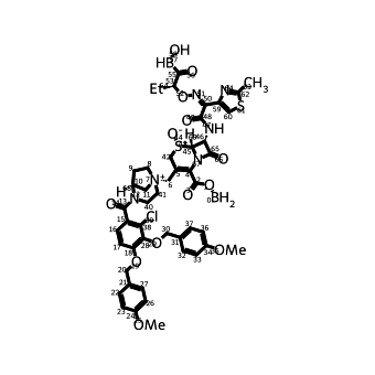 BOC(=O)C1=C(C[N@@+]23CC[C@@H](C2)N(C(=O)c2ccc(OCc4ccc(OC)cc4)c(OCc4ccc(OC)cc4)c2Cl)CC3)C[S+]([O-])[C@@H]2[C@H](NC(=O)/C(=N\O[C@@H](CC)C(=O)BO)c3csc(C)n3)C(=O)N12